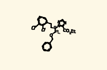 CCOC(=O)c1ncnn1[C@H](CCc1cccc(Cl)c1Cl)[C@H](C)OCc1ccccc1